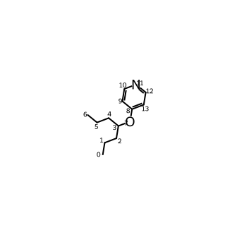 CCCC(CCC)Oc1ccncc1